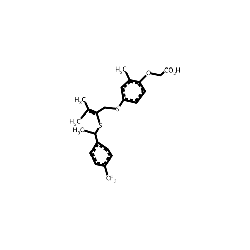 CC(C)=C(CSc1ccc(OCC(=O)O)c(C)c1)SC(C)c1ccc(C(F)(F)F)cc1